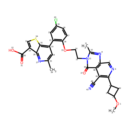 COC1CC(c2ncc3nc(C)n(CCOc4ccc(Cl)cc4-c4cc(C)nc5c(C(=O)O)csc45)c(=O)c3c2C#N)C1